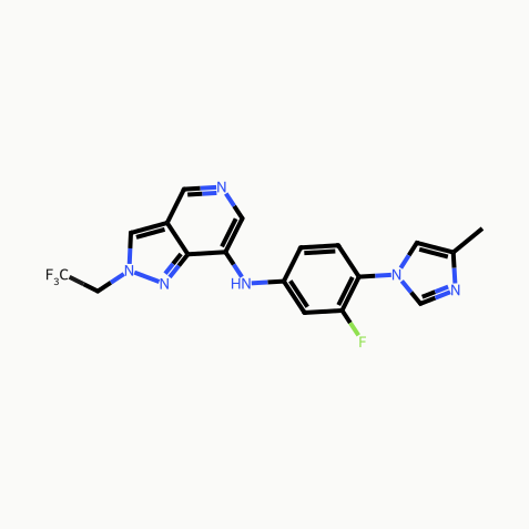 Cc1cn(-c2ccc(Nc3cncc4cn(CC(F)(F)F)nc34)cc2F)cn1